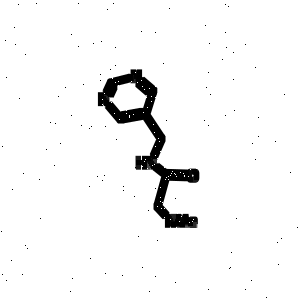 CNCC(=O)NCc1cncnc1